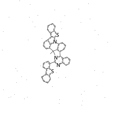 CC1(C)c2c(-c3nc(-c4cccc5c4sc4ccccc45)nc4ccccc34)cccc2-n2c3sc4ccccc4c3c3cccc1c32